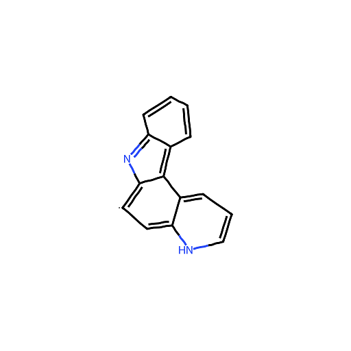 [c]1cc2[nH]cccc2c2c1nc1ccccc12